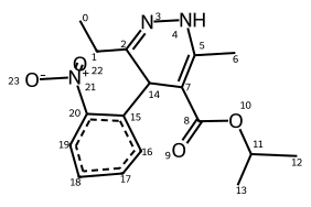 CCC1=NNC(C)=C(C(=O)OC(C)C)C1c1ccccc1[N+](=O)[O-]